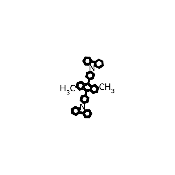 Cc1ccc2c(-c3ccc(-n4c5ccccc5c5ccccc54)cc3)c3cc(C)ccc3c(-c3ccc(-n4c5c(c6ccccc64)CCC=C5)cc3)c2c1